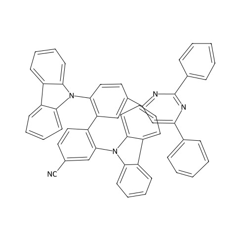 N#Cc1ccc(-c2cc(-c3cc(-c4ccccc4)nc(-c4ccccc4)n3)ccc2-n2c3ccccc3c3ccccc32)c(-n2c3ccccc3c3ccccc32)c1